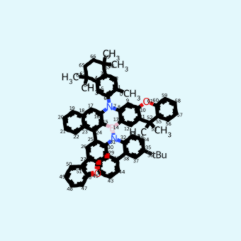 Cc1cc2c(cc1N1c3cc4c(cc3B3c5c1cc1ccccc1c5-c1cc5c(cc1N3c1ccc(C(C)(C)C)cc1-c1ccccc1)oc1ccccc15)C(C)(C)c1ccccc1O4)C(C)(C)CCC2(C)C